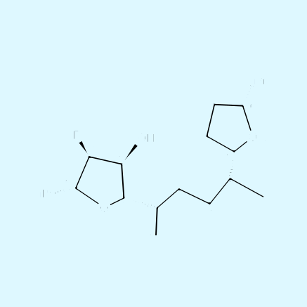 CC(CCC(C)[C@@H]1O[C@H](C(C)C)[C@@H](F)[C@H]1O)[C@@H]1CC[C@H](C(C)C)O1